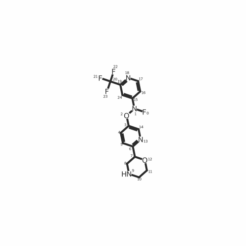 FN(Oc1ccc(C2CNCCO2)nc1)c1ccnc(C(F)(F)F)c1